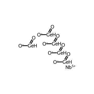 [Nb+5].[O]=[GeH][O-].[O]=[GeH][O-].[O]=[GeH][O-].[O]=[GeH][O-].[O]=[GeH][O-]